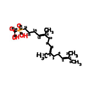 CC(C)=CCCC(C)=CCCC(C)=CCCCP(=O)(O)C(=O)O